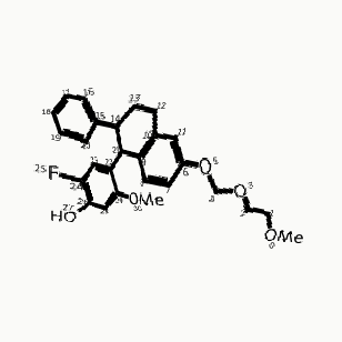 COCCOCOc1ccc2c(c1)CCC(c1ccccc1)C2c1cc(F)c(O)cc1OC